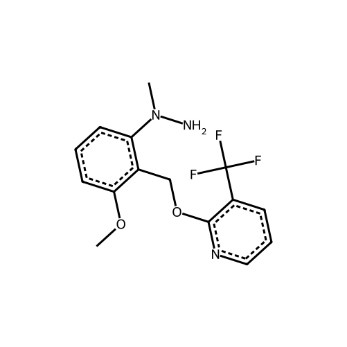 COc1cccc(N(C)N)c1COc1ncccc1C(F)(F)F